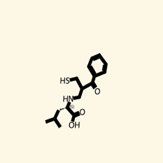 CC(C)C[C@H](NCC(CS)C(=O)c1ccccc1)C(=O)O